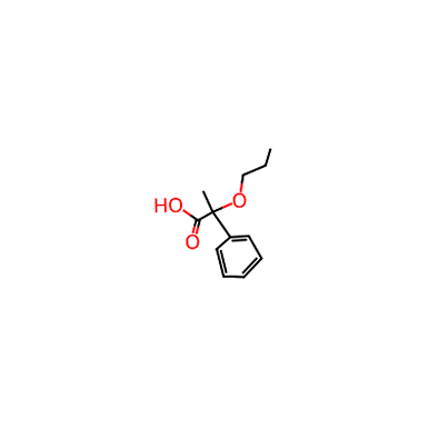 CCCOC(C)(C(=O)O)c1ccccc1